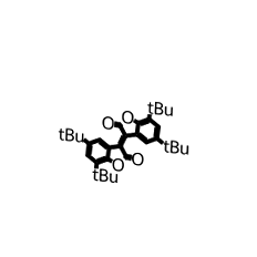 CC(C)(C)c1cc2c(c(C(C)(C)C)c1)OC(=O)/C2=C1/C(=O)Oc2c1cc(C(C)(C)C)cc2C(C)(C)C